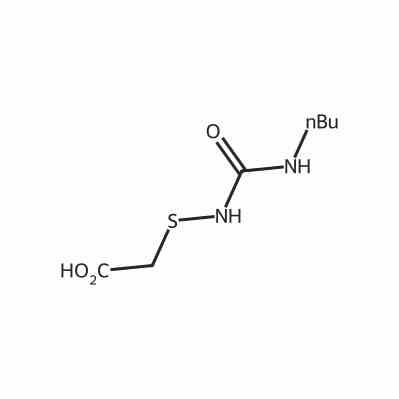 CCCCNC(=O)NSCC(=O)O